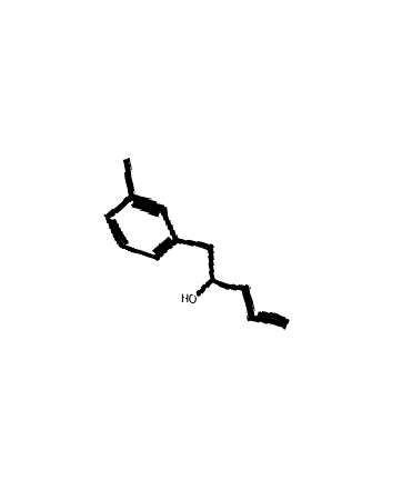 C=CCC(O)Cc1cccc(C)c1